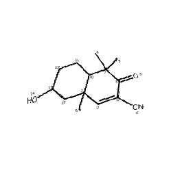 CC12C=C(C#N)C(=O)C(C)(C)C1CCC(O)C2